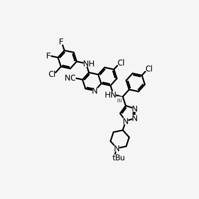 CC(C)(C)N1CCC(n2cc([C@@H](Nc3cc(Cl)cc4c(Nc5cc(F)c(F)c(Cl)c5)c(C#N)cnc34)c3ccc(Cl)cc3)nn2)CC1